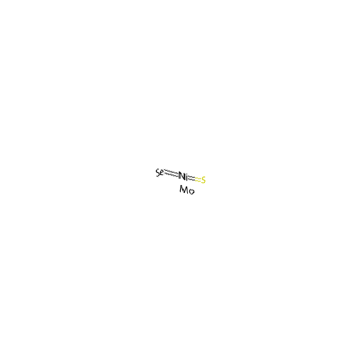 [Mo].[S]=[Ni]=[Se]